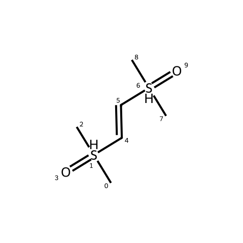 C[SH](C)(=O)C=C[SH](C)(C)=O